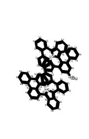 CC(C)(C)c1cc(-c2ccccc2)c(-c2sc(-c3ccccc3-c3ccc(-c4cccc(-c5ccccc5-c5sc(-c6cccc7c8ccccc8c8ccccc8c67)c6ccccc56)c4)cc3)c3ccccc23)c(-c2ccccc2)c1